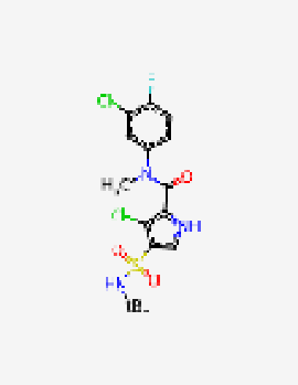 CN(C(=O)c1[nH]cc(S(=O)(=O)NC(C)(C)C)c1Cl)c1ccc(F)c(Cl)c1